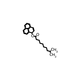 CC(C)CCCCCCCC(=O)OC1C=Cc2cccc3cccc1c23